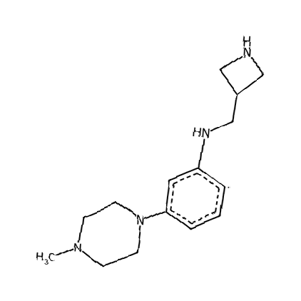 CN1CCN(c2cc[c]c(NCC3CNC3)c2)CC1